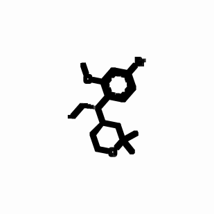 [CH2]C[C@H](c1ccc(Br)cc1OC)[C@@H]1CCOC(C)(C)C1